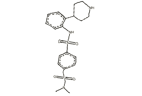 CN(C)S(=O)(=O)c1ccc(S(=O)(=O)Nc2ccccc2C2CCNCC2)cc1